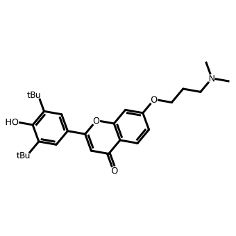 CN(C)CCCOc1ccc2c(=O)cc(-c3cc(C(C)(C)C)c(O)c(C(C)(C)C)c3)oc2c1